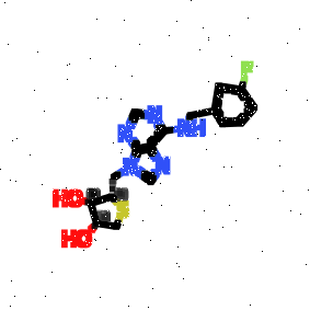 O[C@@H]1[C@H](O)CS[C@H]1Cn1cnc2c(NCc3cccc(F)c3)ncnc21